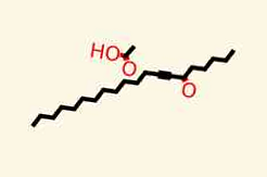 CC(=O)O.CCCCCCCCCCCCC#CC(=O)CCCCC